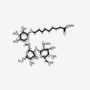 COC(=O)CCCCCCCCO[C@H]1O[C@H](CO[C@@H]2O[C@H](C)[C@@H](O)[C@H](O)[C@@H]2O[C@@H]2O[C@H](CO)[C@@H](O)[C@H](O)[C@@H]2NC(C)=O)[C@@H](O)[C@H](O)[C@H]1O